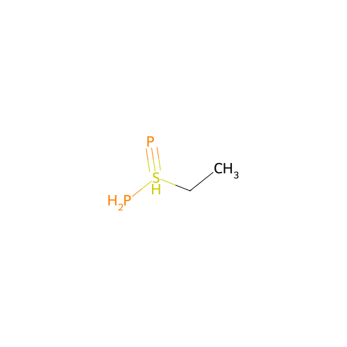 CC[SH](#P)P